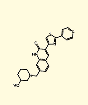 O=c1[nH]c2cc(CN3CCCC(O)C3)ccc2cc1-c1csc(-c2ccncc2)n1